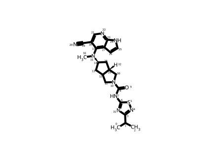 CC(C)c1nsc(NC(=O)N2CC3C[C@@H](N(C)c4c(C#N)cnc5[nH]ccc45)C[C@@H]3C2)n1